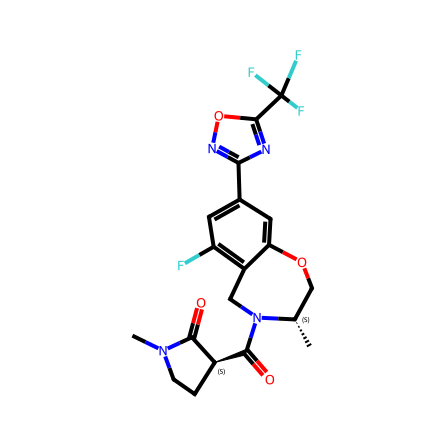 C[C@H]1COc2cc(-c3noc(C(F)(F)F)n3)cc(F)c2CN1C(=O)[C@H]1CCN(C)C1=O